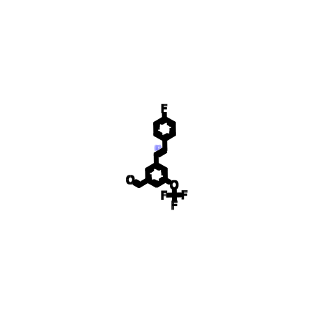 O=Cc1cc(/C=C/c2ccc(F)cc2)cc(OC(F)(F)F)c1